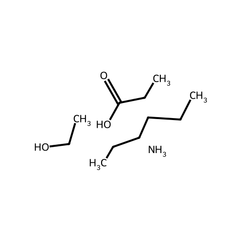 CCC(=O)O.CCCCCC.CCO.N